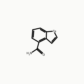 NC(=O)c1cccc2[te]ccc12